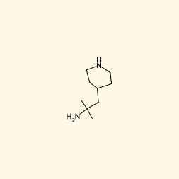 CC(C)(N)CC1CCNCC1